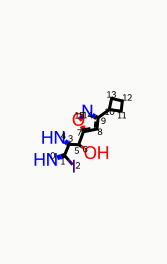 N=C(I)C(=N)C(O)c1cc(C2CCC2)no1